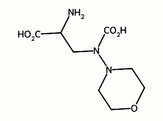 NC(CN(C(=O)O)N1CCOCC1)C(=O)O